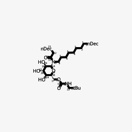 CCCCCCCCCCCCCCCCCCN(C(=O)CCCCCCCCCCC)[C@@H]1O[C@H](COC(=O)NCC(C)(C)C)[C@@H](O)[C@H](O)[C@H]1O